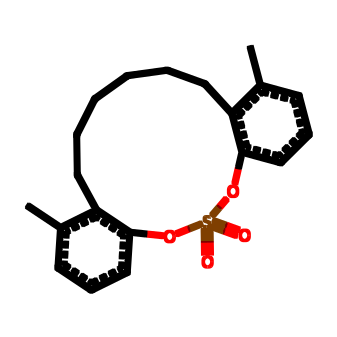 Cc1cccc2c1CCCCCCc1c(C)cccc1OS(=O)(=O)O2